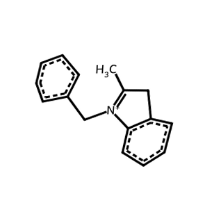 CC1=[N+](Cc2ccccc2)c2ccccc2C1